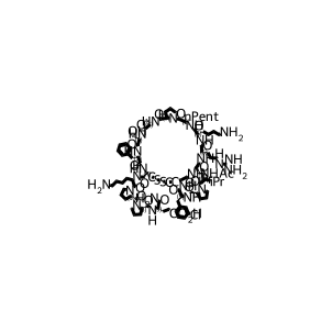 CCCCC[C@@H]1NC(=O)[C@H](CCCCN)NC(=O)[C@H](CCCNC(=N)N)NC(=O)[C@H](CC(C)C)NC(=O)C(NC(=O)[C@H](Cc2cccc(Cl)c2)NC(=O)[C@@H]2CCCN2C(=O)[C@@H](NC(C)=O)C(C)C)CCSSC[C@@H](C(=O)NC(CCCCN)C(=O)N2CCC[C@H]2C(=O)N2CCC[C@H]2C(=O)N[C@@H](CCC(=O)O)C(N)=O)NC(=O)[C@H](Cc2ccccc2)NC(=O)[C@H](CO)NC(=O)[C@H](C)NC(=O)[C@@H]2CCCN2C1=O